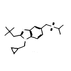 CC(C)S(=O)(=O)Cc1ccc2c(c1)nc(CC(C)(C)C)n2CC1CC1.Cl